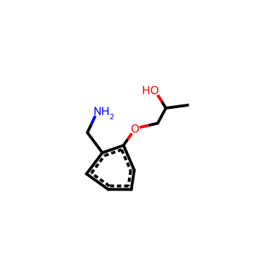 CC(O)COc1ccccc1CN